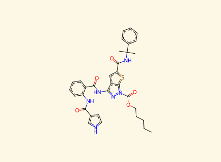 CCCCCOC(=O)n1nc(NC(=O)c2ccccc2NC(=O)c2cc[nH]c2)c2cc(C(=O)NC(C)(C)c3ccccc3)sc21